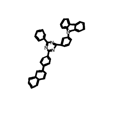 c1ccc(-c2nc(-c3ccc(-c4ccc5ccccc5c4)cc3)nc(-c3cccc(-n4c5ccccc5c5ccccc54)c3)n2)cc1